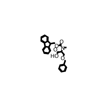 CN(C(=O)OCC1c2ccccc2-c2ccccc21)C(COCc1ccccc1)C(=O)O